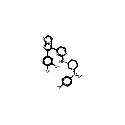 [O-][S+](c1ccc(Cl)cc1)N1CCC[C@@H](Nc2nccc(-c3c(-c4ccc(O)c(O)c4)nc4sccn34)n2)C1